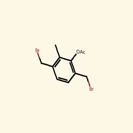 CC(=O)Oc1c(CBr)ccc(CBr)c1C